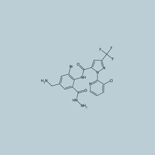 NCc1cc(Br)c(NC(=O)c2cc(C(F)(F)F)nn2-c2ncccc2Cl)c(C(=O)NN)c1